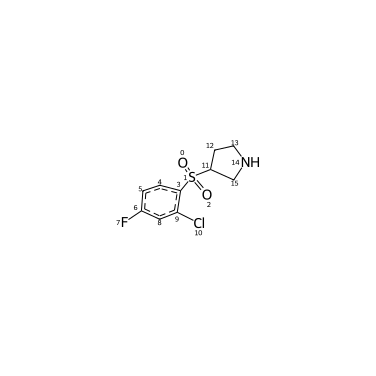 O=S(=O)(c1ccc(F)cc1Cl)C1CCNC1